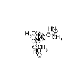 Cc1ccccc1Cn1c(=O)c(-c2cccc(S(=O)(=O)c3ccccc3)c2C)cc2cnc(Nc3ccc(N(C)C4CCCNC4)cc3)nc21